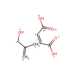 C=C(C)CO.O=C(O)/C=C\C(=O)O